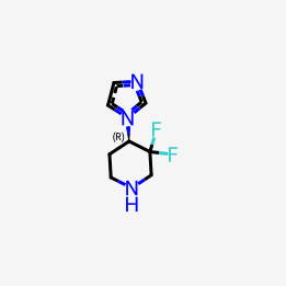 FC1(F)CNCC[C@H]1n1ccnc1